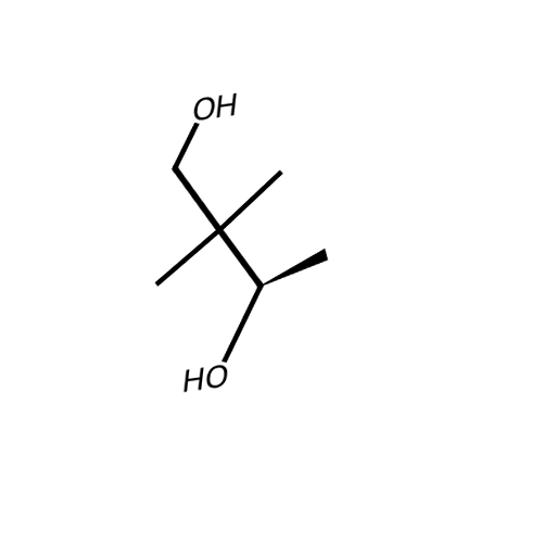 C[C@@H](O)C(C)(C)CO